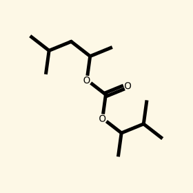 CC(C)CC(C)OC(=O)OC(C)C(C)C